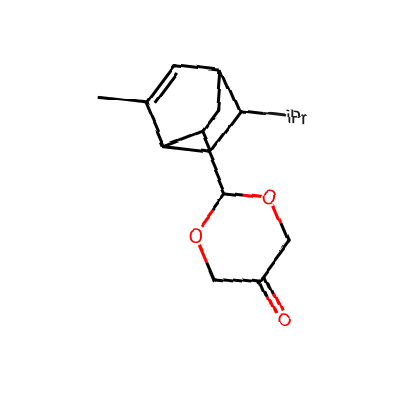 CC1=CC2CC(C3OCC(=O)CO3)C1CC2C(C)C